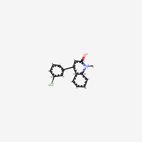 Cn1c(=O)cc(-c2cccc(Cl)c2)c2c[c]ccc21